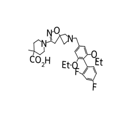 CCOc1cc(CN2CC3(CC(N4CCC(C)(C(=O)O)CC4)=NO3)C2)cc(OCC)c1-c1ccc(F)cc1F